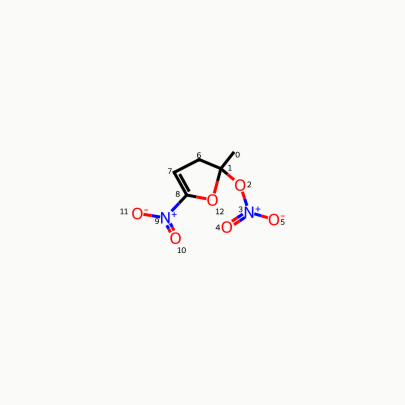 CC1(O[N+](=O)[O-])CC=C([N+](=O)[O-])O1